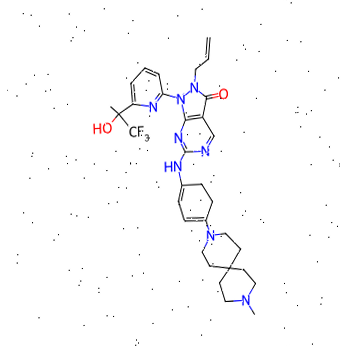 C=CCn1c(=O)c2cnc(NC3=CC=C(N4CCC5(CCN(C)CC5)CC4)CC3)nc2n1-c1cccc(C(C)(O)C(F)(F)F)n1